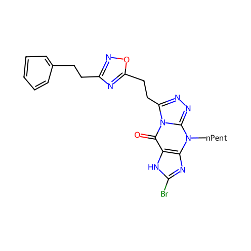 CCCCCn1c2nc(Br)[nH]c2c(=O)n2c(CCc3nc(CCc4ccccc4)no3)nnc12